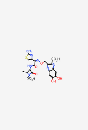 C[C@H]1[C@@H](NC(=O)C(=NOCc2nc3cc(O)c(O)cc3nc2C(=O)O)c2csc(N)n2)C(=O)N1S(=O)(=O)O